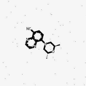 [CH2][C@@H]1CN(c2ccc(C#N)c3nccnc23)C[C@@H](C)O1